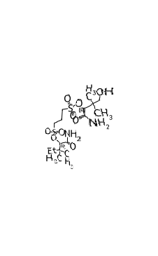 CCC(C)(C)[C@@H](OS(=O)(=O)CCCS(=O)(=O)O[C@@H](C(N)=O)C(C)(C)CO)C(N)=O